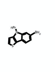 Bc1ccc2c3sccc3n(CCC)c2c1